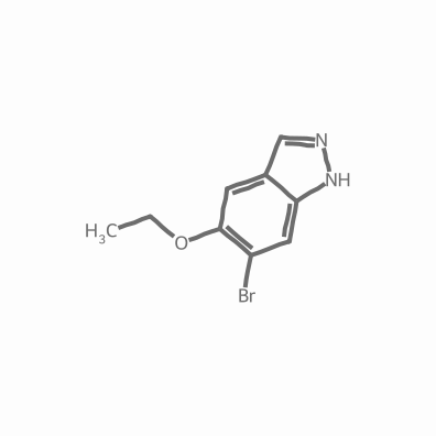 CCOc1cc2cn[nH]c2cc1Br